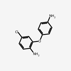 Nc1ccc(Oc2cc(Cl)ccc2N)cc1